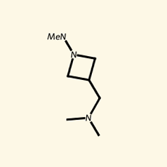 CNN1CC(CN(C)C)C1